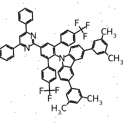 Cc1cc(C)cc(-c2ccc3c(c2)c2cc(-c4cc(C)cc(C)c4)ccc2n3-c2c(-c3ccc(C(F)(F)F)cc3)cc(-c3nc(-c4ccccc4)cc(-c4ccccc4)n3)cc2-c2ccc(C(F)(F)F)cc2)c1